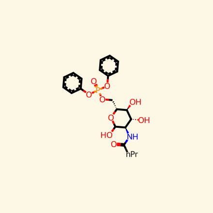 CCCC(=O)N[C@H]1C(O)O[C@H](COP(=O)(Oc2ccccc2)Oc2ccccc2)[C@@H](O)[C@@H]1O